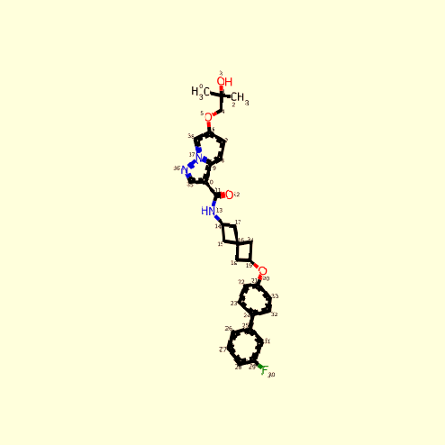 CC(C)(O)COc1ccc2c(C(=O)NC3CC4(C3)CC(Oc3ccc(-c5cccc(F)c5)cc3)C4)cnn2c1